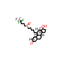 C[C@]12CCC(=O)CC1CC[C@@H]1[C@H]2C(CCCCC[S+]([O-])CCCC(F)(F)C(F)(F)F)C[C@]2(C)C(O)CC[C@@H]12